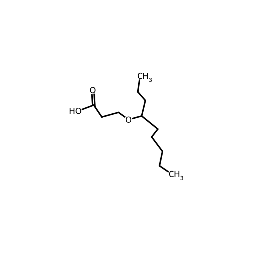 CCCCCC(CCC)OCCC(=O)O